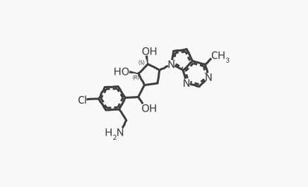 Cc1ncnc2c1ccn2C1CC(C(O)c2ccc(Cl)cc2CN)[C@@H](O)[C@H]1O